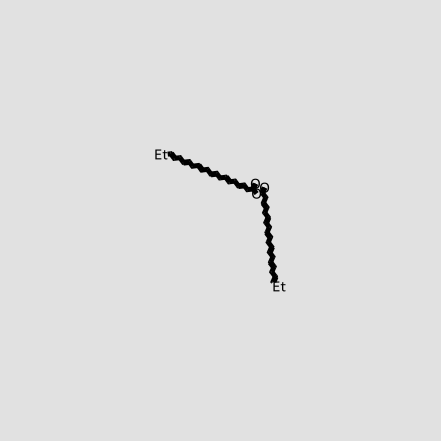 CCC=CCC=CCC=CCC=CCC=CCC=CCC(=O)OC(=O)CC=CCC=CCC=CCC=CCC=CCC=CCC